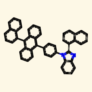 c1ccc2c(-c3c4ccccc4c(-c4ccc(-n5c(-c6cccc7ccccc67)nc6ccccc65)cc4)c4ccccc34)cccc2c1